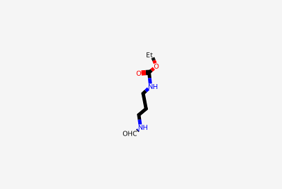 CCOC(=O)NCCCNC=O